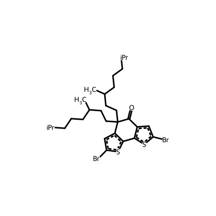 CC(C)CCCC(C)CCC1(CCC(C)CCCC(C)C)C(=O)c2cc(Br)sc2-c2sc(Br)cc21